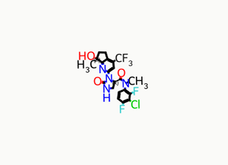 CN(C(=O)[C@H]1CNC(=O)N1c1cc(C(F)(F)F)c2c(n1)[C@](C)(O)CC2)c1ccc(F)c(Cl)c1F